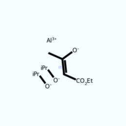 CC(C)[O-].CC(C)[O-].CCOC(=O)/C=C(/C)[O-].[Al+3]